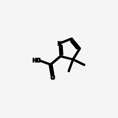 CC1(C)C=CN=C1C(=O)O